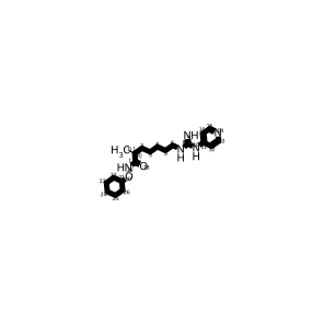 C[C@H](CCCCCNC(=N)Nc1ccncc1)C(=O)NOC1CCCCC1